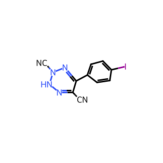 N#CC1=NNN(C#N)N=C1c1ccc(I)cc1